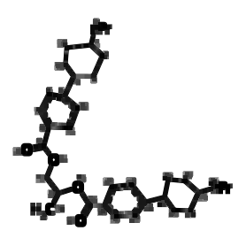 CCCC1CCC(c2ccc(C(=O)OCC(C)OC(=O)c3ccc(C4CCC(CCC)CC4)cc3)cc2)CC1